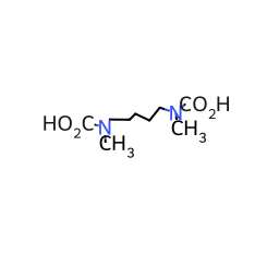 CN(CCCCCN(C)C(=O)O)C(=O)O